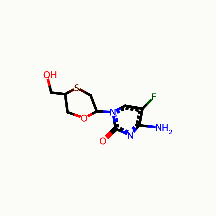 Nc1nc(=O)n(C2CSC(CO)CO2)cc1F